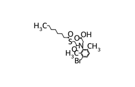 CCCCCCCC(=O)SCC(=O)N(CC(=O)O)c1c(C)ccc(Br)c1C